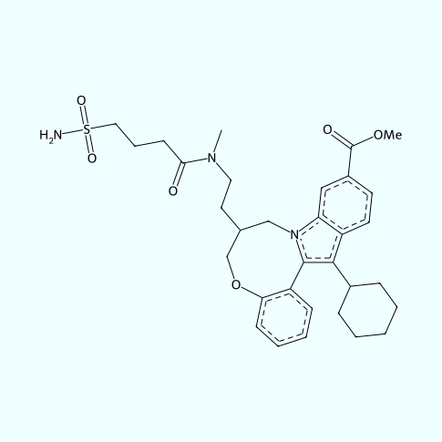 COC(=O)c1ccc2c(C3CCCCC3)c3n(c2c1)CC(CCN(C)C(=O)CCCS(N)(=O)=O)COc1ccccc1-3